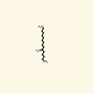 CCCCCCCCCCC(N)CCCCN